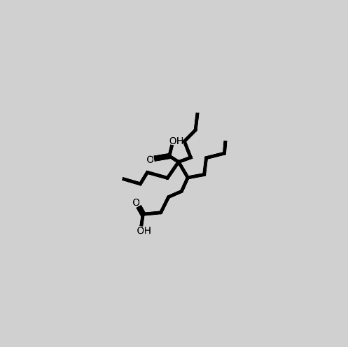 CCCCC(CCCC(=O)O)C(CCCC)(CCCC)C(=O)O